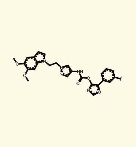 COc1cc2ccn(CCn3cc(NC(=O)Oc4ncoc4-c4cccc(F)c4)cn3)c2cc1OC